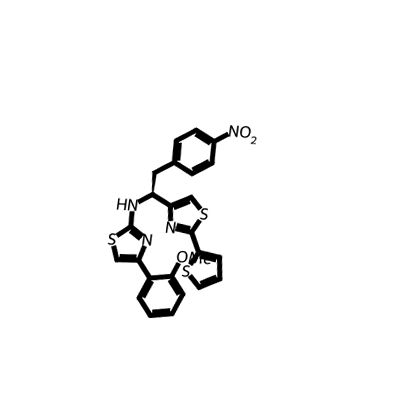 COc1ccccc1-c1csc(N[C@@H](Cc2ccc([N+](=O)[O-])cc2)c2csc(-c3cccs3)n2)n1